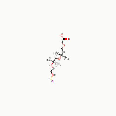 CC(C)(CCOCC(=O)O)OCC(C)(C)OCCOSI